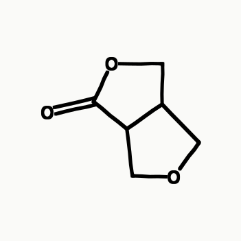 O=C1OCC2COCC12